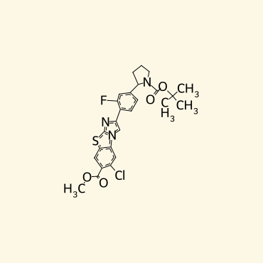 COC(=O)c1cc2sc3nc(-c4ccc(C5CCCN5C(=O)OC(C)(C)C)cc4F)cn3c2cc1Cl